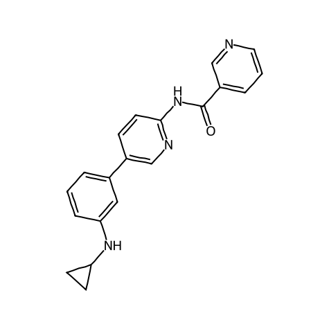 O=C(Nc1ccc(-c2cccc(NC3CC3)c2)cn1)c1cccnc1